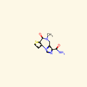 CN1Cc2c(C(N)=O)ncn2-c2ccsc2C1=O